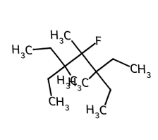 CCC(C)(CC)C(C)(F)C(C)(CC)CC